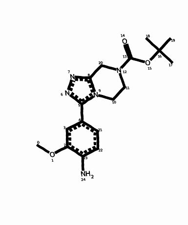 COc1cc(-c2nnc3n2CCN(C(=O)OC(C)(C)C)C3)ccc1N